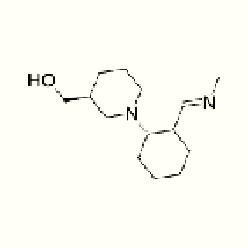 C/N=C/C1CCCC[C@@H]1N1CCC[C@H](CO)C1